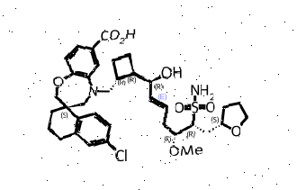 CO[C@H](C/C=C/[C@H](O)[C@@H]1CC[C@H]1CN1C[C@@]2(CCCc3cc(Cl)ccc32)COc2ccc(C(=O)O)cc21)[C@@H](C[C@@H]1CCCO1)S(N)(=O)=O